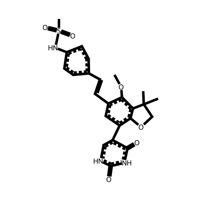 COc1c(C=Cc2ccc(NS(C)(=O)=O)cc2)cc(-c2c[nH]c(=O)[nH]c2=O)c2c1C(C)(C)CO2